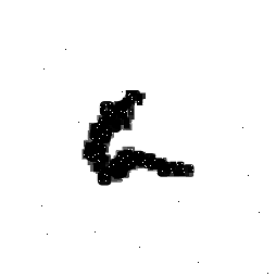 CCOC(Cc1ccc(-c2cccc(CN(C)C(=O)c3ccc4cc(OCOCCOC)ccc4c3)c2)cc1)C(=O)NCCC(C)C